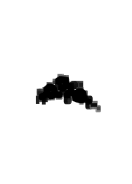 COc1ccc(C(C(=O)OCc2cccc(C(F)(F)F)c2)C(O)c2cccnc2)cc1